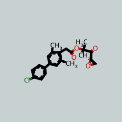 Cc1cc(-c2ccc(Cl)cc2)cc(C)c1CC(=O)OC(C)(C)C(=O)C1CO1